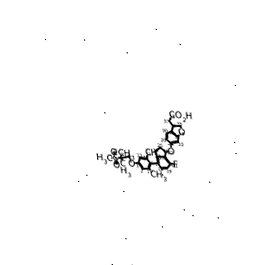 Cc1cc(OCC(C)(C)S(C)(=O)=O)cc(C)c1-c1ccc(F)c2c1CC[C@H]2Oc1ccc2c(c1)OCC2CC(=O)O